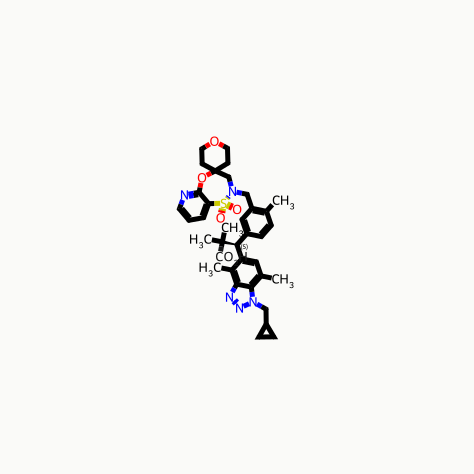 Cc1ccc([C@@H](c2cc(C)c3c(nnn3CC3CC3)c2C)C(C)(C)C(=O)O)cc1CN1CC2(CCOCC2)Oc2ncccc2S1(=O)=O